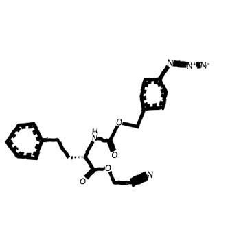 N#CCOC(=O)[C@H](CCc1ccccc1)NC(=O)OCc1ccc(N=[N+]=[N-])cc1